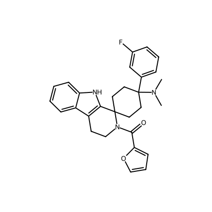 CN(C)C1(c2cccc(F)c2)CCC2(CC1)c1[nH]c3ccccc3c1CCN2C(=O)c1ccco1